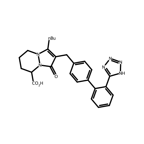 CCCCc1c(Cc2ccc(-c3ccccc3-c3nnn[nH]3)cc2)c(=O)n2n1CCCC2C(=O)O